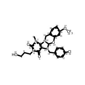 Cn1c2c(c(=O)n(CCCO)c1=O)N(Cc1ccc(Cl)cc1)C1Oc3cc(OC(F)(F)F)ccc3CN21